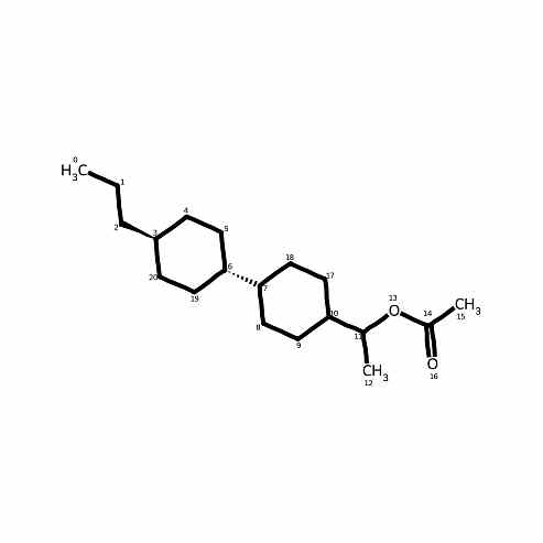 CCC[C@H]1CC[C@H](C2CCC(C(C)OC(C)=O)CC2)CC1